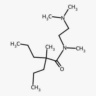 CCCC(C)(CCC)C(=O)N(C)CCN(C)C